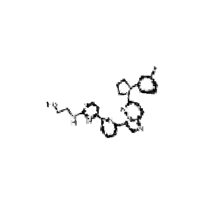 OCCNc1nccc(-c2cccc(-c3cnc4ccc(N5CCCC5c5cccc(F)c5)nn34)n2)n1